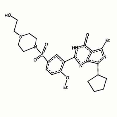 CCOc1ccc(S(=O)(=O)N2CCN(CCO)CC2)cc1-c1nn2c(C3CCCC3)nc(CC)c2c(=O)[nH]1